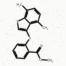 COC(=O)c1ccccc1Sc1csc2c(C)ccc(C)c12